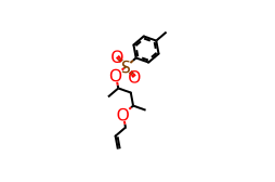 C=CCOC(C)CC(C)OS(=O)(=O)c1ccc(C)cc1